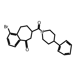 O=C1CC(C(=O)N2CCC(c3ccccc3)CC2)CCc2c(Br)cccc21